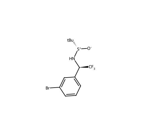 CC(C)(C)[S@+]([O-])N[C@H](c1cccc(Br)c1)C(F)(F)F